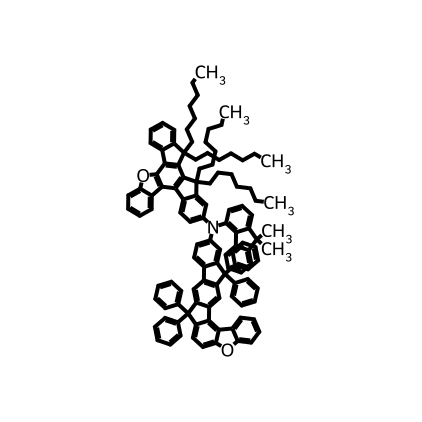 CCCCCCCC1(CCCCCCC)c2ccccc2-c2c1c1c(c3c2oc2ccccc23)-c2ccc(N(c3ccc4c(c3)C(c3ccccc3)(c3ccccc3)c3cc5c(cc3-4)C(c3ccccc3)(c3ccccc3)c3ccc4oc6ccccc6c4c3-5)c3cccc4c3-c3ccccc3C4(C)C)cc2C1(CCCCCCC)CCCCCCC